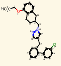 O=C(O)COc1cccc2c1CCC(Cn1cc(Cc3ccccc3-c3cccc(Cl)c3)cn1)C2